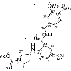 COC(=O)N1CC[C@@H](Nc2ccc(C#N)cc2C(=O)NCc2ccc(OC)c(OC)c2)C1